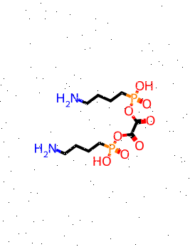 NCCCCP(=O)(O)OC(=O)C(=O)OP(=O)(O)CCCCN